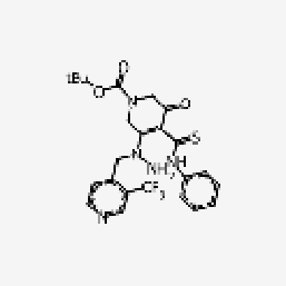 CC(C)(C)OC(=O)N1CC(=O)C(C(=S)Nc2ccccc2)=C(N(N)Cc2ccncc2C(F)(F)F)C1